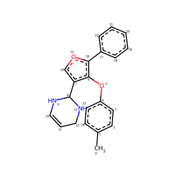 Cc1ccc(Oc2c(C3NC=CCN3)coc2-c2ccccc2)cc1